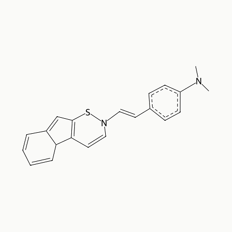 CN(C)c1ccc(C=CN2C=CC3=C(C=C4C=CC=CC43)S2)cc1